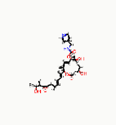 CCC(O)C(C)C1OC1CC(C)/C=C/C=C(\C)C1OC(=O)CC(O)CCC(C)(O)C(OC(=O)NCc2ccncc2)/C=C/C1C